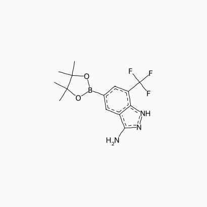 CC1(C)OB(c2cc(C(F)(F)F)c3[nH]nc(N)c3c2)OC1(C)C